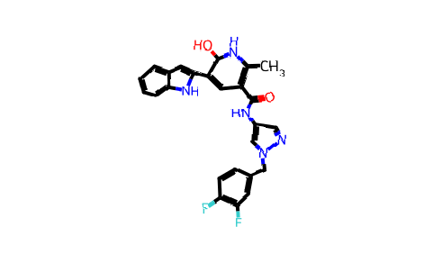 CC1=C(C(=O)Nc2cnn(Cc3ccc(F)c(F)c3)c2)C=C(c2cc3ccccc3[nH]2)C(O)N1